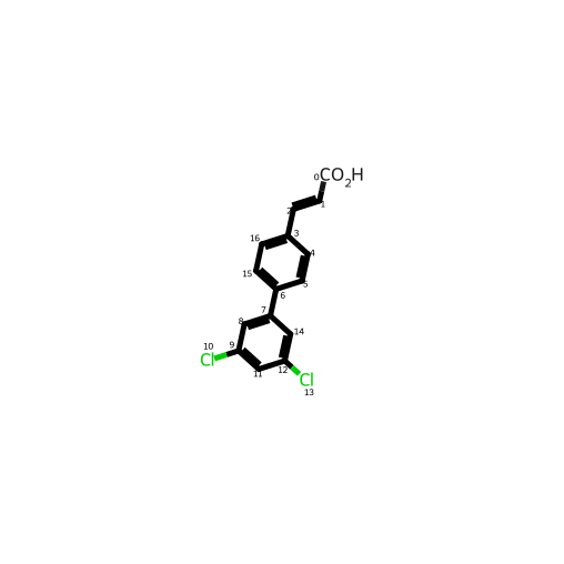 O=C(O)C=Cc1ccc(-c2cc(Cl)cc(Cl)c2)cc1